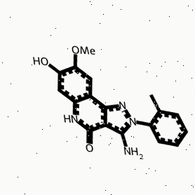 COc1cc2c(cc1O)[nH]c(=O)c1c(N)n(-c3ccccc3C)nc12